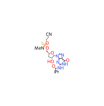 CNP(=S)(OCCC#N)OC[C@@H]1C[C@@H](O)[C@H](n2cnc3c(=O)[nH]c(NC(=O)C(C)C)nc32)O1